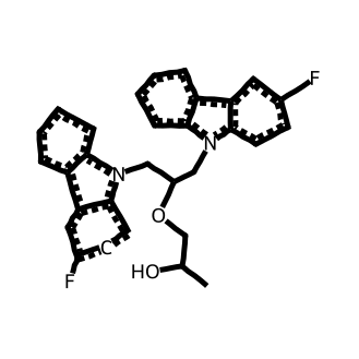 CC(O)COC(Cn1c2ccccc2c2cc(F)ccc21)Cn1c2ccccc2c2cc(F)ccc21